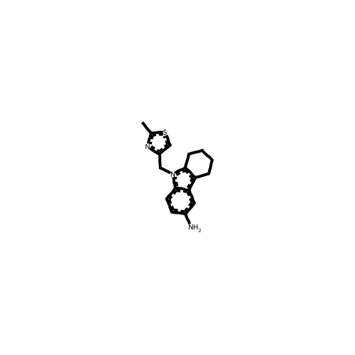 Cc1nc(Cn2c3c(c4cc(N)ccc42)CCCC3)cs1